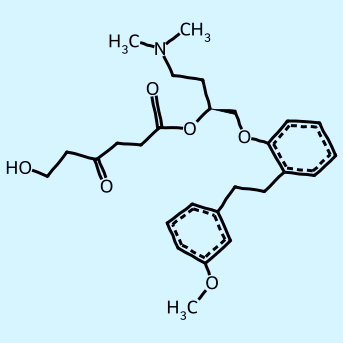 COc1cccc(CCc2ccccc2OC[C@H](CCN(C)C)OC(=O)CCC(=O)CCO)c1